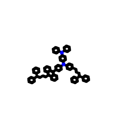 C(=Cc1ccc(N(c2ccc(-c3c4ccccc4c(C=CC=C(c4ccccc4)c4ccccc4)c4ccccc34)cc2)c2ccc(N(c3ccccc3)c3ccccc3)cc2)cc1)C=C(c1ccccc1)c1ccccc1